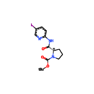 CC(C)(C)OC(=O)N1CCC[C@H]1C(=O)Nc1ccc(I)cn1